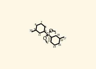 CO[Si](OC)(C1CCCC(C)C1)C1CCCC(C)C1